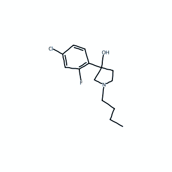 CCCCN1CCC(O)(c2ccc(Cl)cc2F)C1